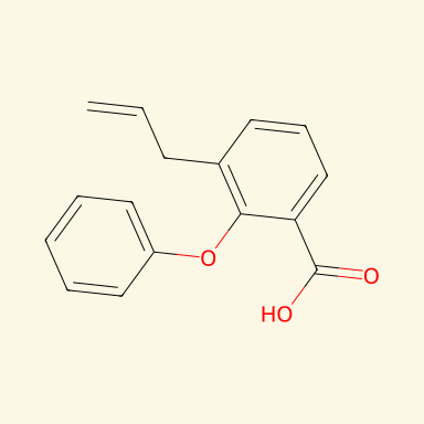 C=CCc1cccc(C(=O)O)c1Oc1ccccc1